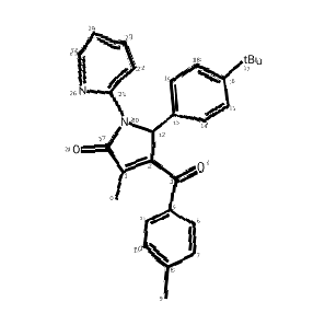 CC1=C(C(=O)c2ccc(C)cc2)C(c2ccc(C(C)(C)C)cc2)N(c2ccccn2)C1=O